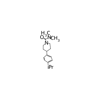 CC(C)c1ccc(C2CCN(C(=O)N(C)C)CC2)cc1